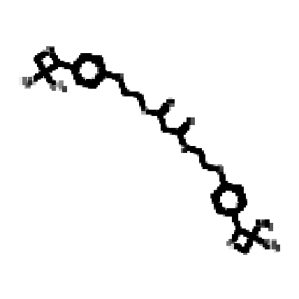 CC1(C)COC1c1ccc(OCCOC(=O)CC(=O)OCCOc2ccc(C3OCC3(C)C)cc2)cc1